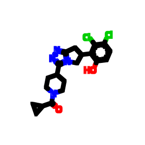 O=C(C1CC1)N1CCC(c2nnc3n2CC(c2c(O)ccc(Cl)c2Cl)C3)CC1